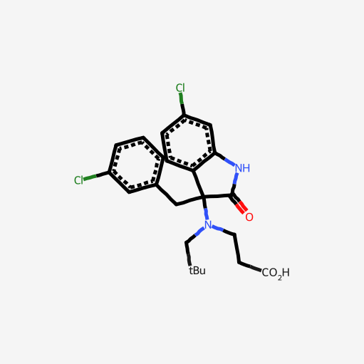 CC(C)(C)CN(CCC(=O)O)C1(Cc2cccc(Cl)c2)C(=O)Nc2cc(Cl)ccc21